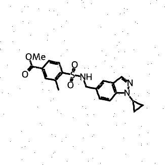 COC(=O)c1ccc(S(=O)(=O)NCc2ccc3c(cnn3C3CC3)c2)c(C)c1